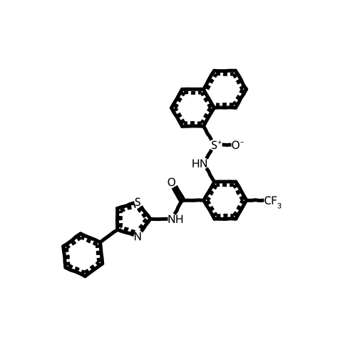 O=C(Nc1nc(-c2ccccc2)cs1)c1ccc(C(F)(F)F)cc1N[S+]([O-])c1cccc2ccccc12